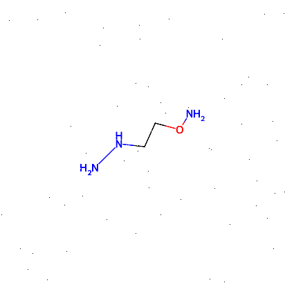 NNCCON